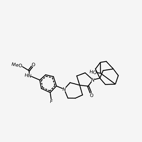 COC(=O)Nc1ccc(N2CCCC3(CCN(C45CC6CC(C4)C(O)C(C6)C5)C3=O)C2)c(F)c1